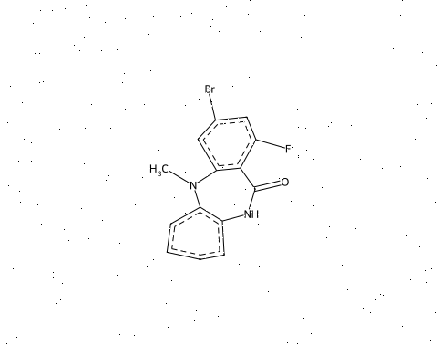 CN1c2ccccc2NC(=O)c2c(F)cc(Br)cc21